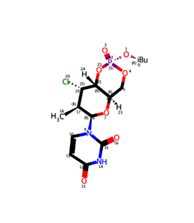 CC[C@@H](C)O[P@]1(=O)OC[C@H]2O[C@@H](n3ccc(=O)[nH]c3=O)[C@@H](C)[C@H](Cl)[C@@H]2O1